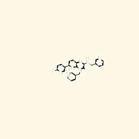 O=c1c(NCc2cccnc2)nc2ccc(-c3ccc(F)nc3)nc2n1CC1=CNCC=C1